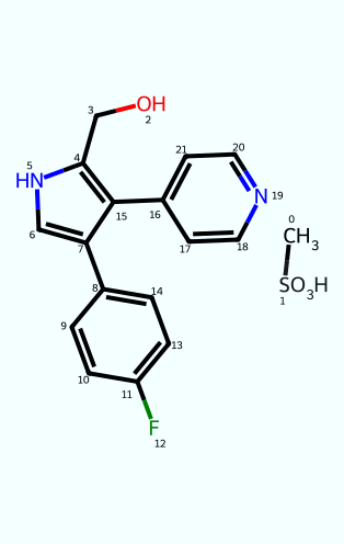 CS(=O)(=O)O.OCc1[nH]cc(-c2ccc(F)cc2)c1-c1ccncc1